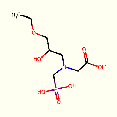 CCOCC(O)CN(CC(=O)O)CP(=O)(O)O